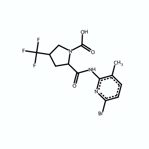 Cc1ccc(Br)nc1NC(=O)C1CC(C(F)(F)F)CN1C(=O)O